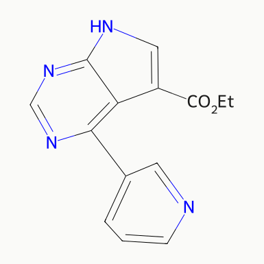 CCOC(=O)c1c[nH]c2ncnc(-c3cccnc3)c12